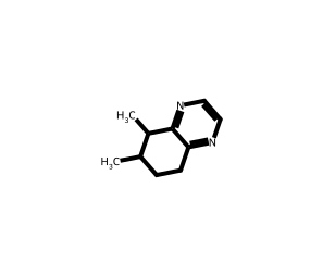 CC1CCc2nccnc2C1C